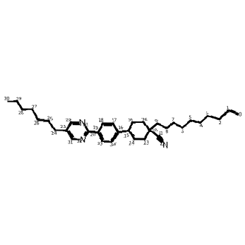 CCCCCCCCCCC1(C#N)CCC(c2ccc(-c3ncc(CCCCCCC)cn3)cc2)CC1